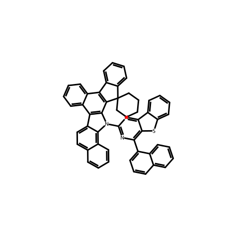 c1ccc2c(c1)-c1c(c3c(c4ccccc14)c1ccc4ccccc4c1n3-c1nc(-c3cccc4ccccc34)c3sc4ccccc4c3n1)C21CCCCC1